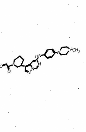 C=CC(=O)N1CCCC(c2cnn3cnc(Nc4ccc(N5CCN(C)CC5)cc4)cc23)C1